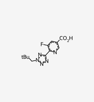 CC(C)(C)Cn1nnc(-c2ncc(C(=O)O)cc2F)n1